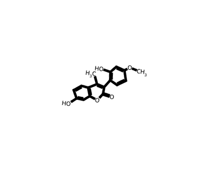 COc1ccc(-c2c(C)c3ccc(O)cc3oc2=O)c(O)c1